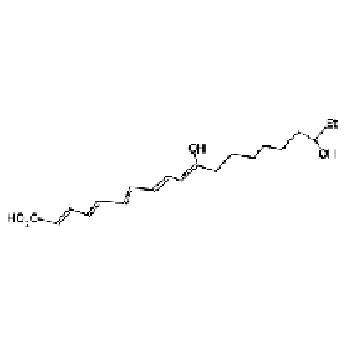 CCC(O)CCCCCCC(O)=CC=CC=CC=CC=CC(=O)O